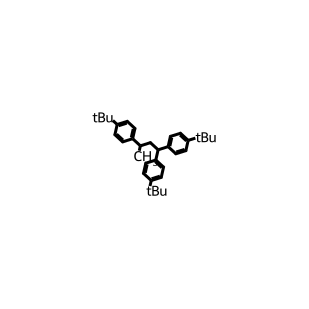 CC(CC(c1ccc(C(C)(C)C)cc1)c1ccc(C(C)(C)C)cc1)c1ccc(C(C)(C)C)cc1